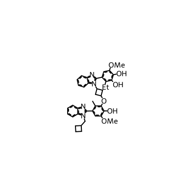 CCc1c(-c2nc3ccccc3n2C2CC(Oc3c(C)c(-c4nc5ccccc5n4CC4CCC4)cc(OC)c3O)C2)cc(OC)c(O)c1O